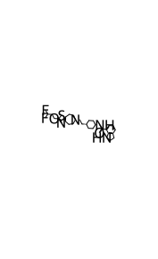 O=C(N[C@H]1CC[C@H](CCN2CCc3nc(OCC(F)F)sc3CC2)CC1)c1cccc2c1NCC2